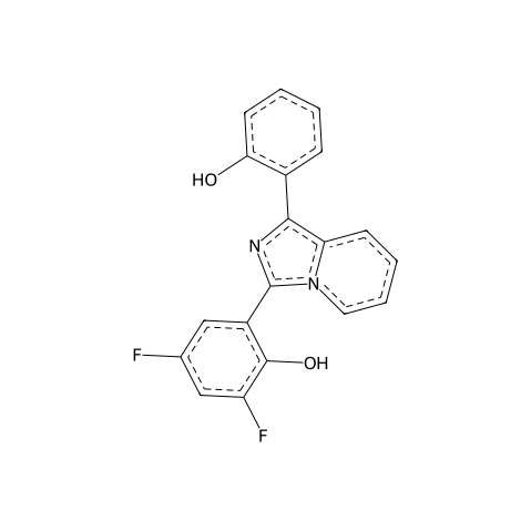 Oc1ccccc1-c1nc(-c2cc(F)cc(F)c2O)n2ccccc12